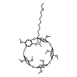 CCOCCCCCCCCCCOc1cc2c(OC)cc1Cc1cc(OC)c(cc1OC)Cc1cc(OC)c(cc1OC)Cc1cc(OC)c(cc1OC)Cc1cc(OC)c(cc1OC)C2